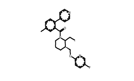 Cc1ccc(-c2ccncc2)c(C(=O)N2CCC[C@H](COc3ccc(F)cn3)C2CI)c1